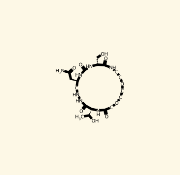 CC(O)[C@H]1NC(=O)COCCOCCNC(=O)[C@@H](CO)NC(=O)N[C@H](CC(N)=O)CNNC1=O